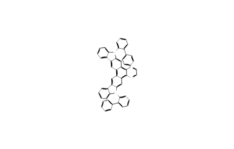 c1ccc(-c2ccccc2-n2c3ccccc3c3cc4c5cc6c7ccccc7n(-c7ccccc7-c7ccccc7)c6cc5c5nccnc5c4cc32)cc1